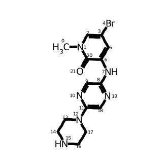 Cn1cc(Br)cc(Nc2cnc(N3CCNCC3)cn2)c1=O